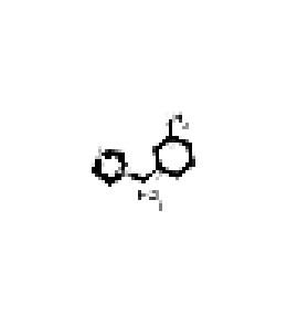 Cl.Cl.N[C@H]1CCC[C@@H](Cn2ccnc2)C1